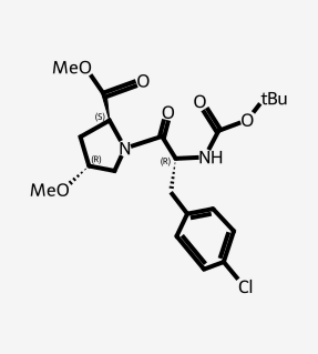 COC(=O)[C@@H]1C[C@@H](OC)CN1C(=O)[C@@H](Cc1ccc(Cl)cc1)NC(=O)OC(C)(C)C